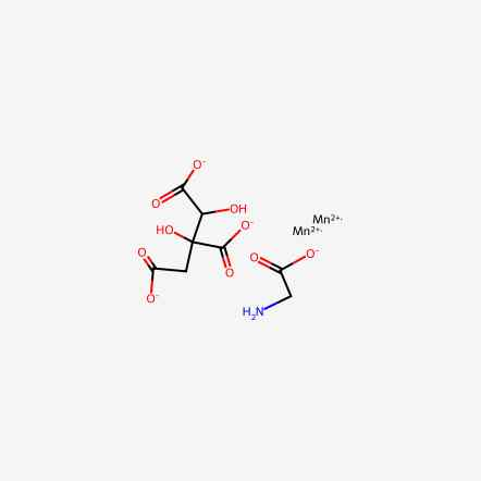 NCC(=O)[O-].O=C([O-])CC(O)(C(=O)[O-])C(O)C(=O)[O-].[Mn+2].[Mn+2]